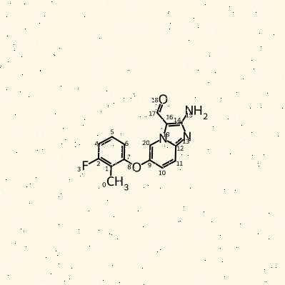 Cc1c(F)cccc1Oc1ccc2nc(N)c(C=O)n2c1